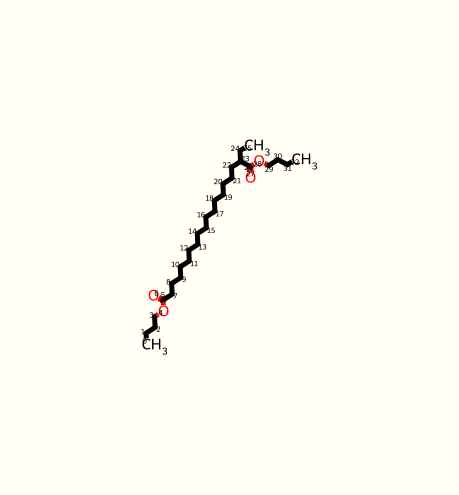 CCCCOC(=O)CCCCCCCCCCCCCCCCC(CC)C(=O)OCCCC